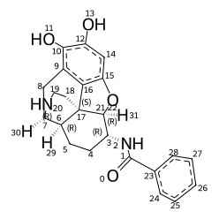 O=C(N[C@@H]1CC[C@H]2[C@H]3Cc4c(O)c(O)cc5c4[C@@]2(CCN3)[C@H]1O5)c1ccccc1